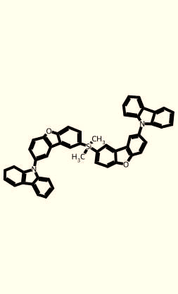 C[Si](C)(c1ccc2oc3ccc(-n4c5c(c6ccccc64)C=CCC5)cc3c2c1)c1ccc2oc3ccc(-n4c5ccccc5c5ccccc54)cc3c2c1